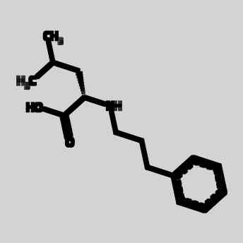 CC(C)C[C@H](NCCCc1ccccc1)C(=O)O